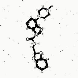 CN1CCN(c2cccc3c2ncn3C(=O)NCC2Oc3ccccc3O2)CC1